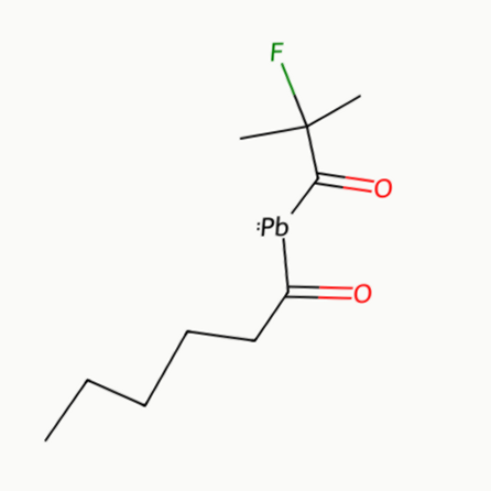 CCCCC[C](=O)[Pb][C](=O)C(C)(C)F